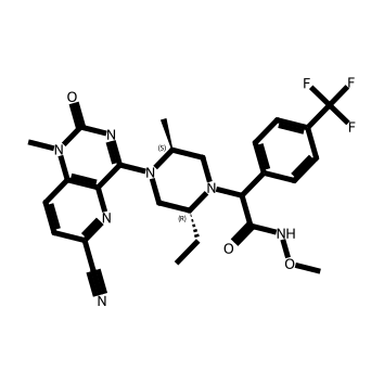 CC[C@@H]1CN(c2nc(=O)n(C)c3ccc(C#N)nc23)[C@@H](C)CN1C(C(=O)NOC)c1ccc(C(F)(F)F)cc1